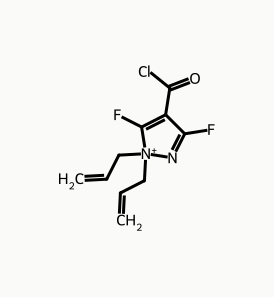 C=CC[N+]1(CC=C)N=C(F)C(C(=O)Cl)=C1F